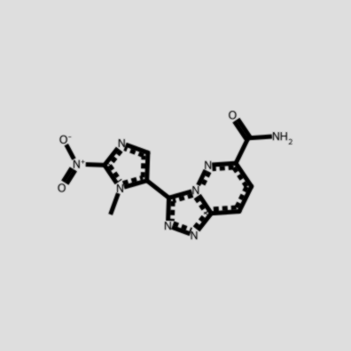 Cn1c(-c2nnc3ccc(C(N)=O)nn23)cnc1[N+](=O)[O-]